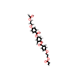 C=CC(=O)OCCCOc1ccc(C(=O)Oc2ccc(OC(=O)c3ccc(OCCCOC(C)=O)cc3)cc2C)cc1